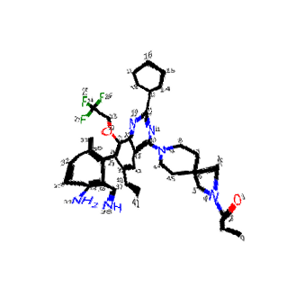 C=CC(=O)N1CC2(CCN(c3nc(C4CCCCC4)nc4c(OCC(F)(F)F)c(-c5c(C)ccc(N)c5C=N)c(C=C)cc34)CC2)C1